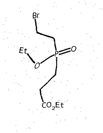 CCOC(=O)CCP(=O)(CCBr)OCC